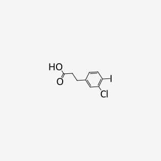 O=C(O)CCc1ccc(I)c(Cl)c1